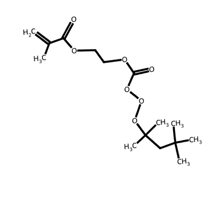 C=C(C)C(=O)OCCOC(=O)OOOC(C)(C)CC(C)(C)C